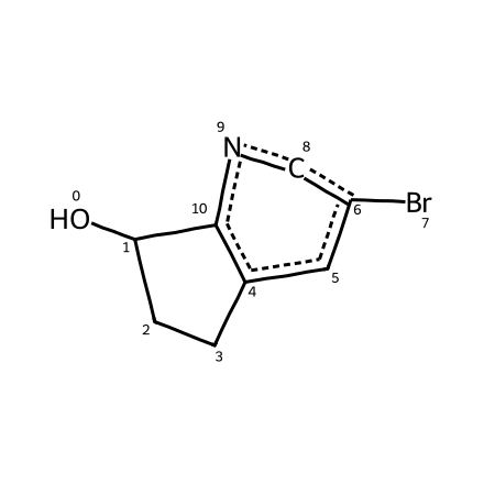 OC1CCc2cc(Br)cnc21